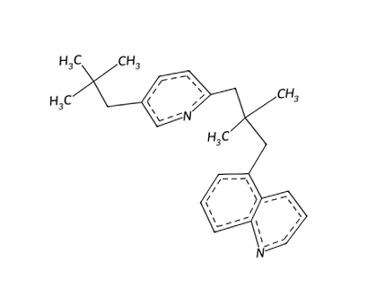 CC(C)(C)Cc1ccc(CC(C)(C)Cc2cccc3ncccc23)nc1